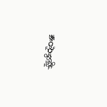 O=C1OC(CNC(=O)C(F)(F)S)CN1c1cc(F)c(N2CCC(n3cnnn3)CC2)c(F)c1